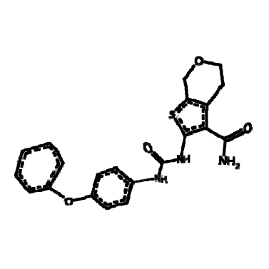 NC(=O)c1c(NC(=O)Nc2ccc(Oc3ccccc3)cc2)sc2c1CCOC2